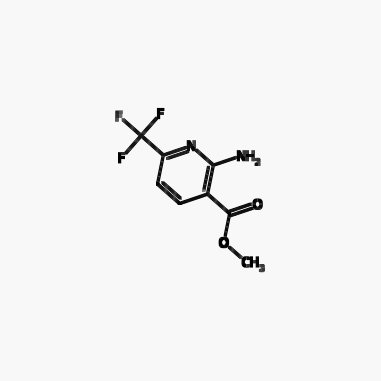 COC(=O)c1ccc(C(F)(F)F)nc1N